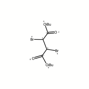 CC(C)COC(=O)C(Br)C(Br)C(=O)OCC(C)C